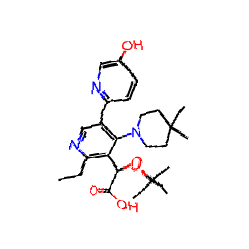 CCc1ncc(-c2ccc(O)cn2)c(N2CCC(C)(C)CC2)c1C(OC(C)(C)C)C(=O)O